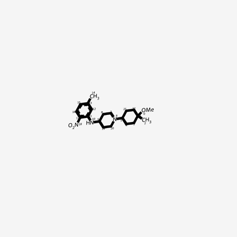 COC1(C)CCC(N2CCC(Nc3cc(C)ccc3[N+](=O)[O-])CC2)CC1